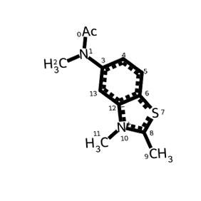 CC(=O)N(C)c1ccc2sc(C)[n+](C)c2c1